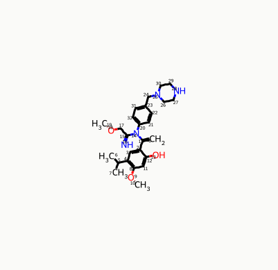 C=C(c1cc(C(C)C)c(OC)cc1O)N(C(=N)COC)c1ccc(CN2CCNCC2)cc1